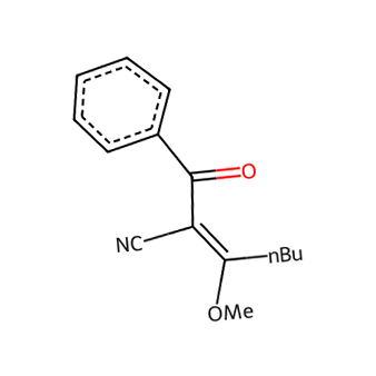 CCCC/C(OC)=C(/C#N)C(=O)c1ccccc1